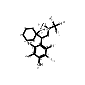 [2H]c1c([2H])c(C(CN(C)C([2H])([2H])[2H])C2(O)CCCCC2)c([2H])c([2H])c1O